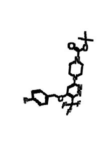 CC(C)(C)OC(=O)N1CCN(c2cc(OCc3ccc(F)cc3)c(C(F)(F)F)nn2)CC1